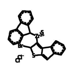 [Cl-].[Cl-].[S]=[Zr+2]([C]1=C2C(=Cc3ccccc32)SC1Br)[CH]1c2ccccc2-c2ccccc21